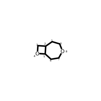 C1CC2COC2CCO1